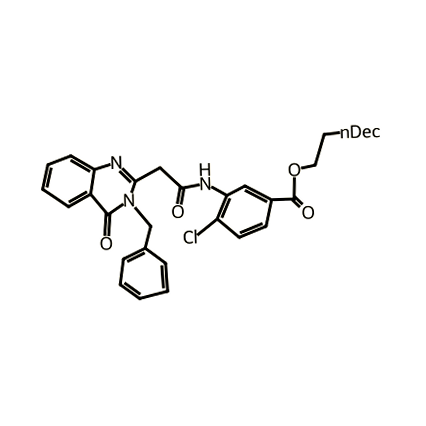 CCCCCCCCCCCCOC(=O)c1ccc(Cl)c(NC(=O)Cc2nc3ccccc3c(=O)n2Cc2ccccc2)c1